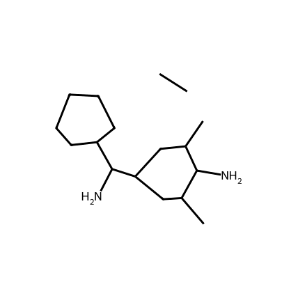 CC.CC1CC(C(N)C2CCCCC2)CC(C)C1N